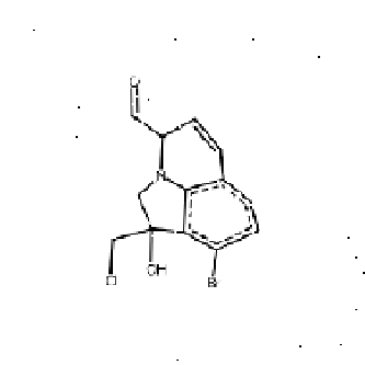 O=CC1C=Cc2ccc(Br)c3c2N1CC3(O)CCl